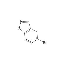 Brc1ccc2oncc2c1